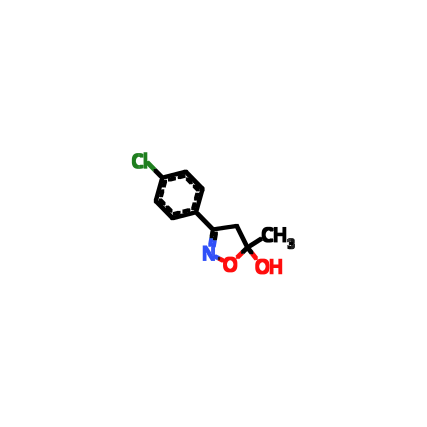 CC1(O)CC(c2ccc(Cl)cc2)=NO1